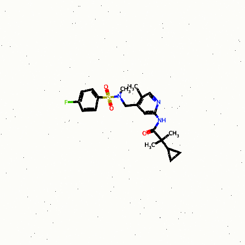 Cc1cnc(NC(=O)C(C)(C)C2CC2)cc1CN(C)S(=O)(=O)c1ccc(F)cc1